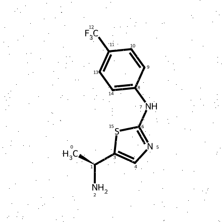 C[C@H](N)c1cnc(Nc2ccc(C(F)(F)F)cc2)s1